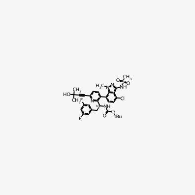 Cn1nc(NS(C)(=O)=O)c2c(Cl)ccc(-c3ccc(C#CC(C)(C)O)nc3[C@H](Cc3cc(F)cc(F)c3)NC(=O)OC(C)(C)C)c21